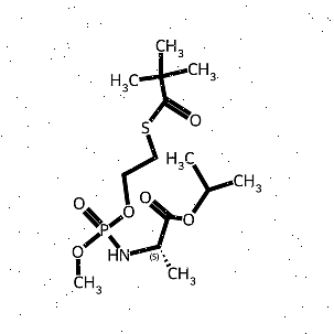 COP(=O)(N[C@@H](C)C(=O)OC(C)C)OCCSC(=O)C(C)(C)C